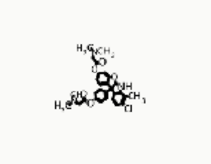 Cc1c(Cl)ccc2c1NC(=O)C2(c1ccc(OC(=O)CN(C)C)cc1)c1ccc(OC(=O)CN(C)C)cc1